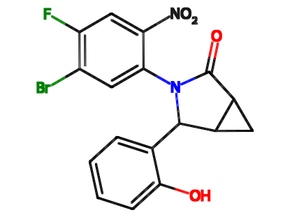 O=C1C2CC2C(c2ccccc2O)N1c1cc(Br)c(F)cc1[N+](=O)[O-]